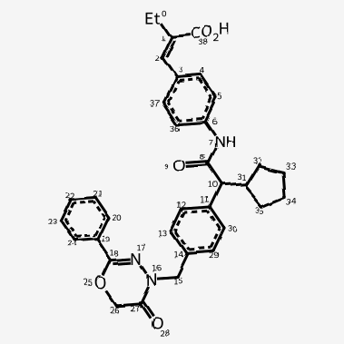 CCC(=Cc1ccc(NC(=O)C(c2ccc(CN3N=C(c4ccccc4)OCC3=O)cc2)C2CCCC2)cc1)C(=O)O